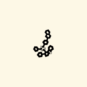 C1=CC2C=CC(c3ccc(-c4nc(-c5ccccc5)nc(-c5c(-c6ccccc6)ccc6oc7ccccc7c56)n4)cc3)=CC2C=C1